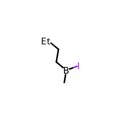 CCCCB(C)I